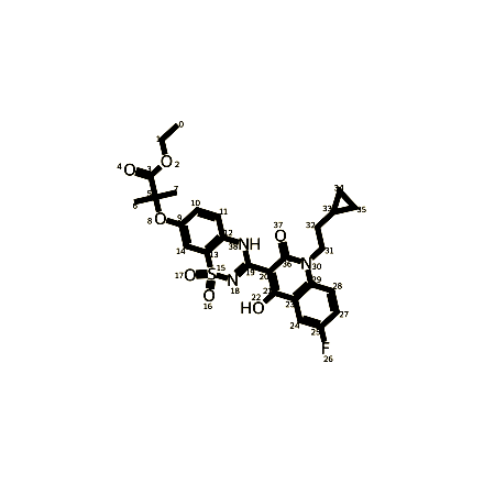 CCOC(=O)C(C)(C)Oc1ccc2c(c1)S(=O)(=O)N=C(c1c(O)c3cc(F)ccc3n(CCC3CC3)c1=O)N2